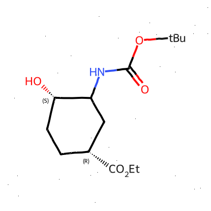 CCOC(=O)[C@@H]1CC[C@H](O)C(NC(=O)OC(C)(C)C)C1